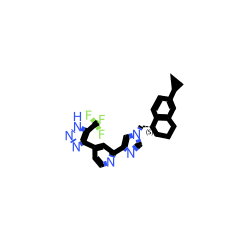 FC(F)(F)c1[nH]nnc1-c1ccnc(-c2cn(C[C@H]3CCCc4cc(C5CC5)ccc43)cn2)c1